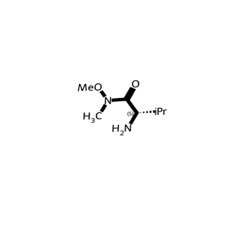 CON(C)C(=O)[C@@H](N)C(C)C